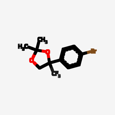 CC1(C)OCC(c2ccc(Br)cc2)(C(F)(F)F)O1